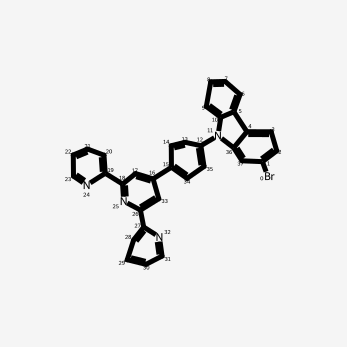 Brc1ccc2c3ccccc3n(-c3ccc(-c4cc(-c5ccccn5)nc(-c5ccccn5)c4)cc3)c2c1